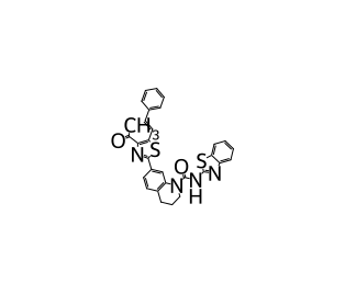 CC(=O)c1nc(-c2ccc3c(c2)N(C(=O)Nc2nc4ccccc4s2)CCC3)sc1/C=C/c1ccccc1